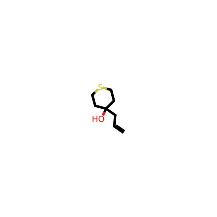 C=CCC1(O)CCSCC1